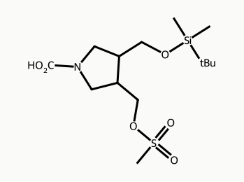 CC(C)(C)[Si](C)(C)OCC1CN(C(=O)O)CC1COS(C)(=O)=O